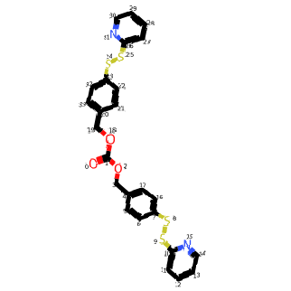 O=C(OCc1ccc(SSc2ccccn2)cc1)OCc1ccc(SSc2ccccn2)cc1